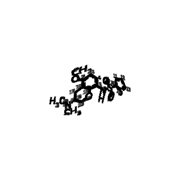 COc1ccc(NS(=O)(=O)c2cccs2)c2c1C[C@@H](N(C)C)CO2